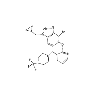 FC(F)(F)C1CCN(Cc2cccnc2Oc2ccc3c(nnn3CC3CC3)c2Br)CC1